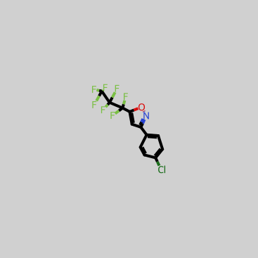 FC(F)(F)C(F)(F)C(F)(F)c1cc(-c2ccc(Cl)cc2)no1